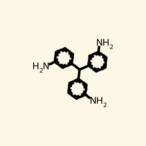 Nc1cccc(C(c2cccc(N)c2)c2cccc(N)c2)c1